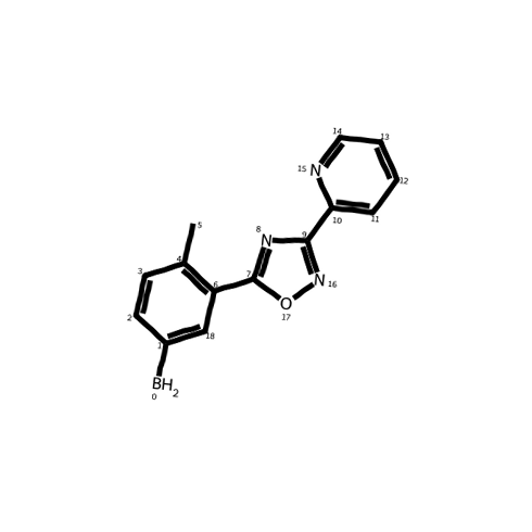 Bc1ccc(C)c(-c2nc(-c3ccccn3)no2)c1